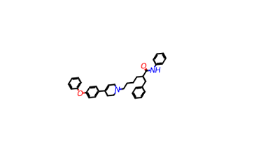 O=C(Nc1ccccc1)C(CCCCN1CC=C(c2ccc(Oc3ccccc3)cc2)CC1)Cc1ccccc1